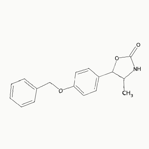 CC1NC(=O)OC1c1ccc(OCc2ccccc2)cc1